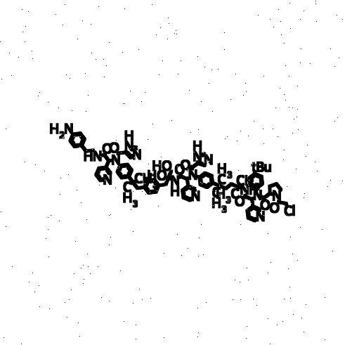 CC(C)(CCC(C)(C)c1ccc(N(C(=O)c2cnc[nH]2)C(C(=O)NC(O)(CO)Cc2ccc(CC(C)(C)c3ccc(N(C(=O)c4cnc[nH]4)C(C(=O)NCCc4ccc(N)cc4)c4cccnc4)cc3)cc2)c2cccnc2)cc1)NC(=O)C(c1cccnc1)N(C(=O)C1CCCN1C(=O)CCl)c1ccc(C(C)(C)C)cc1